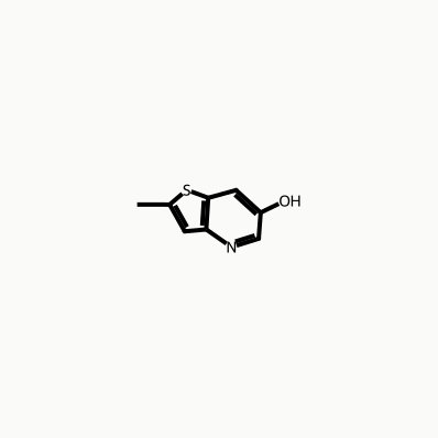 Cc1cc2ncc(O)cc2s1